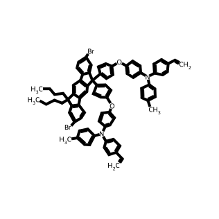 C=Cc1ccc(N(c2ccc(C)cc2)c2ccc(Oc3ccc(C4(c5ccc(Oc6ccc(N(c7ccc(C)cc7)c7ccc(C=C)cc7)cc6)cc5)c5cc(Br)ccc5-c5cc6c(cc54)-c4ccc(Br)cc4C6(CCCC)CCCC)cc3)cc2)cc1